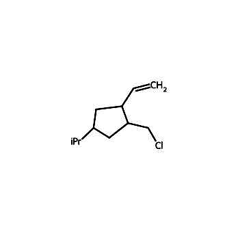 C=CC1CC(C(C)C)CC1CCl